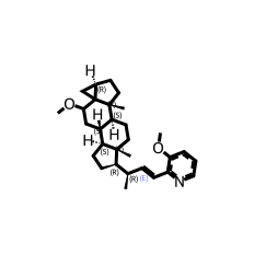 COc1cccnc1/C=C/[C@@H](C)[C@H]1CC[C@H]2[C@@H]3CC(OC)C45C[C@H]4CC[C@]5(C)[C@H]3CC[C@]12C